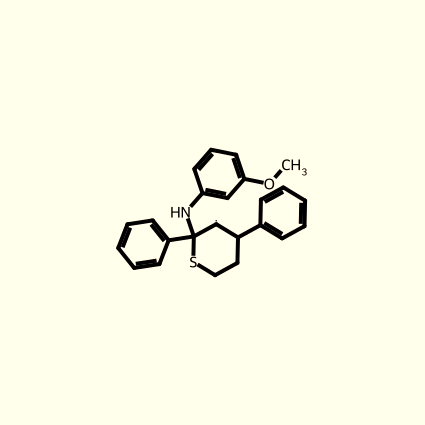 COc1cccc(NC2(c3ccccc3)[CH]C(c3ccccc3)CCS2)c1